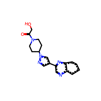 O=C(CO)N1CCC(n2cc(-c3cnc4ccccc4n3)cn2)CC1